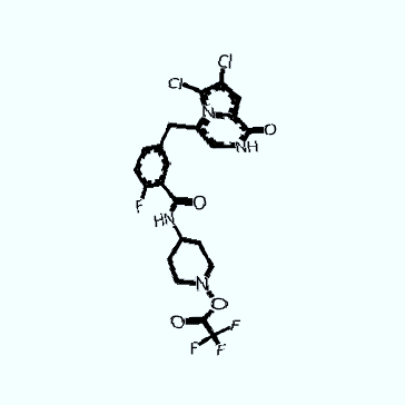 O=C(NC1CCN(OC(=O)C(F)(F)F)CC1)c1cc(Cc2c[nH]c(=O)c3cc(Cl)c(Cl)n23)ccc1F